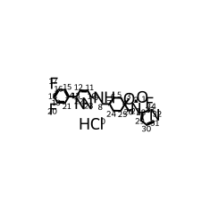 Cl.O=C1OC2(CCC(CNc3ccc(-c4cc(F)cc(F)c4)nn3)CC2)CN1c1cccnc1F